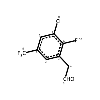 O=CCc1cc(C(F)(F)F)cc(Cl)c1F